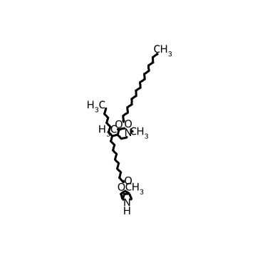 CCCCCCCCCCCCCCCCCC(=O)OC1(C)CN(C)CCC1C(CCCCCCC)CCCCCCCCCC(=O)OC1(C)CC2CC1CN2